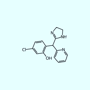 Oc1cc(Cl)ccc1C(C1=NCCN1)c1ccccn1